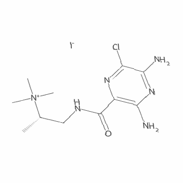 C[C@@H](CNC(=O)c1nc(Cl)c(N)nc1N)[N+](C)(C)C.[I-]